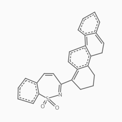 O=S1(=O)N=C(C2=c3ccc4c(c3CCC2)CC=c2ccccc2=4)C=Cc2ccccc21